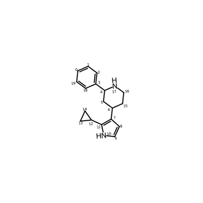 c1ccc(C2CC(c3cc[nH]c3C3CC3)CCN2)cc1